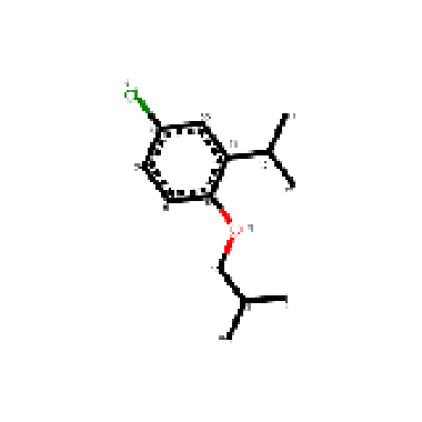 CC(C)COc1ccc(Cl)cc1C(C)C